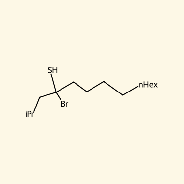 CCCCCCCCCCC(S)(Br)CC(C)C